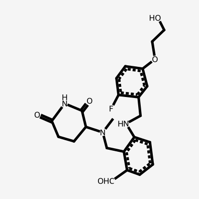 CN(Cc1c(C=O)cccc1NCc1cc(OCCO)ccc1F)C1CCC(=O)NC1=O